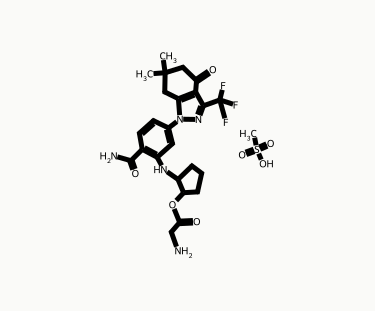 CC1(C)CC(=O)c2c(C(F)(F)F)nn(-c3ccc(C(N)=O)c(NC4CCCC4OC(=O)CN)c3)c2C1.CS(=O)(=O)O